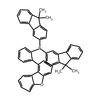 CC1(C)c2ccccc2-c2cc(N(c3ccc4c(c3)-c3ccccc3C4(C)C)c3ccccc3-c3cccc4oc5ccccc5c34)ccc21